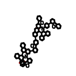 c1cc(-c2cccc3c2oc2cc(-c4ccc5cccc(-c6c(N(c7ccc(-c8cccc9c8oc8ccccc89)cc7)c7cccc8c7oc7ccccc78)c7ccccc7c7ccccc67)c5c4)ccc23)cc(N(c2c(-c3ccc4ccccc4c3)c3ccccc3c3ccccc23)c2cccc3oc4ccccc4c23)c1